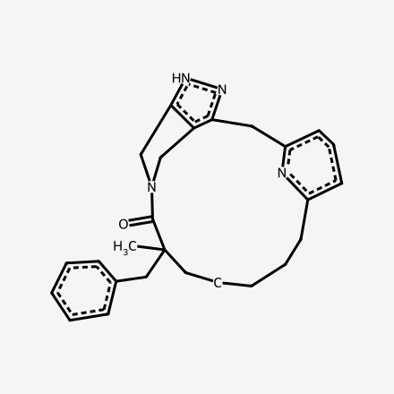 CC1(Cc2ccccc2)CCCCCc2cccc(n2)Cc2n[nH]c3c2CN(C3)C1=O